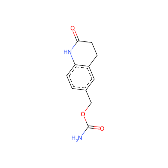 NC(=O)OCc1ccc2c(c1)CCC(=O)N2